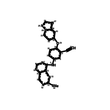 C#Cc1cc(Nc2ncnc3cnc(SC)nc23)ccc1Oc1ccn2ncnc2c1